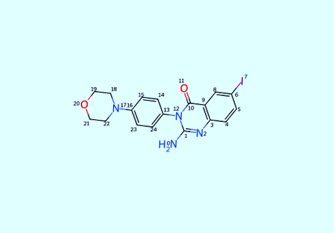 Nc1nc2ccc(I)cc2c(=O)n1-c1ccc(N2CCOCC2)cc1